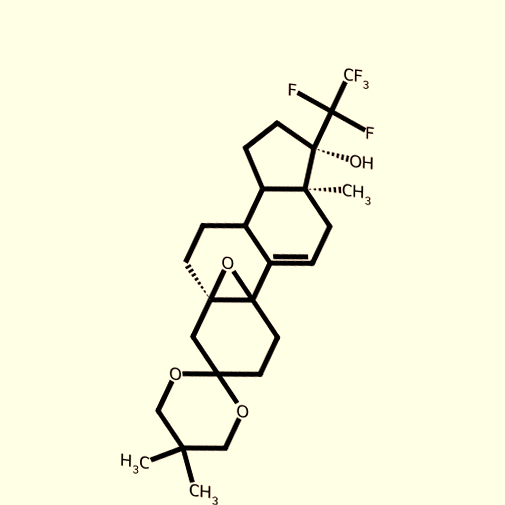 CC1(C)COC2(CCC34O[C@]3(CCC3C4=CC[C@@]4(C)C3CC[C@@]4(O)C(F)(F)C(F)(F)F)C2)OC1